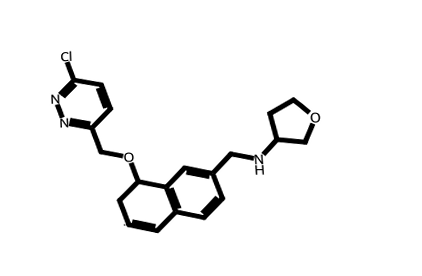 Clc1ccc(COC2C[C]=Cc3ccc(CNC4CCOC4)cc32)nn1